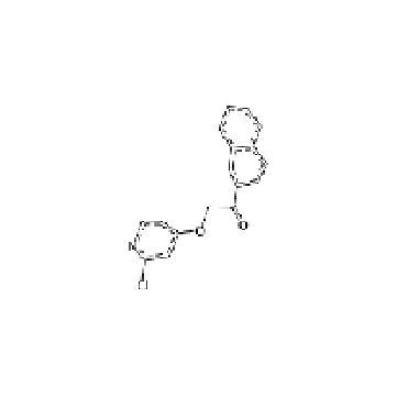 O=C(COc1ccnc(Cl)c1)c1ccc2ccccc2c1